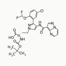 CC(C)(C)OC(=O)N[C@@H](CCn1cc(NC(=O)c2cnn3cccnc23)c(-c2cc(Cl)ccc2OC(F)F)n1)C(=O)O